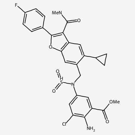 CNC(=O)c1c(-c2ccc(F)cc2)oc2cc(CN(c3cc(Cl)c(N)c(C(=O)OC)c3)[SH](=O)=O)c(C3CC3)cc12